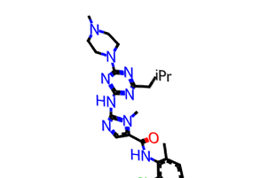 Cc1cccc(Cl)c1NC(=O)c1cnc(Nc2nc(CC(C)C)nc(N3CCN(C)CC3)n2)n1C